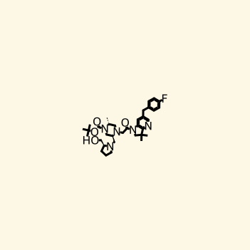 C[C@@H]1CN(CC(=O)N2CC(C)(C)c3ncc(Cc4ccc(F)cc4)cc32)[C@@H](CN2CCC[C@H]2CO)CN1C(=O)OC(C)(C)C